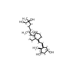 C=C1/C(=C\C=C2CCC[C@@]3(C)C2CC[C@@H]3[C@H](C)CCC[C@@](C)(O)CO)C[C@@H](O)C[C@H]1O